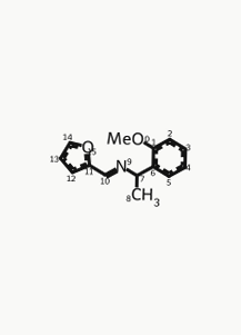 COc1ccccc1C(C)/N=C/c1ccco1